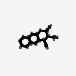 CC(C)(C)C1C(=O)Cc2cc3ccccc3cc2C1=O